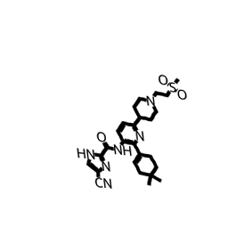 CC1(C)CC=C(c2nc(C3CCN(CCS(C)(=O)=O)CC3)ccc2NC(=O)c2nc(C#N)c[nH]2)CC1